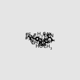 COc1ncnc(C2CC2)c1-c1ncc2c(n1)N(Cc1ccc(-c3nc(C(F)(F)F)cn3C)c(F)c1)C1(CC1)C(O)N2C